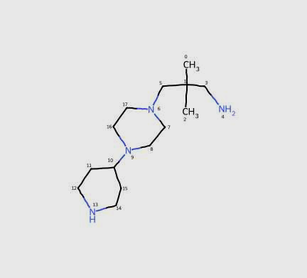 CC(C)(CN)CN1CCN(C2CCNCC2)CC1